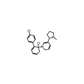 CN1CCCC1C1=CN(C2(Cl)CC=CC=C2c2ccc(Cl)cc2)CC=C1